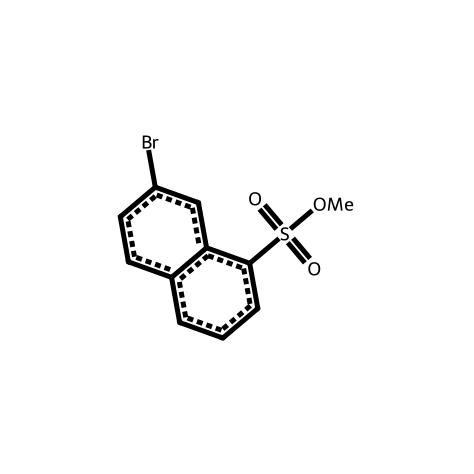 [CH2]OS(=O)(=O)c1cccc2ccc(Br)cc12